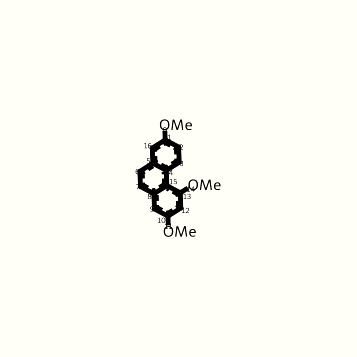 COc1ccc2c(ccc3cc(OC)cc(OC)c32)c1